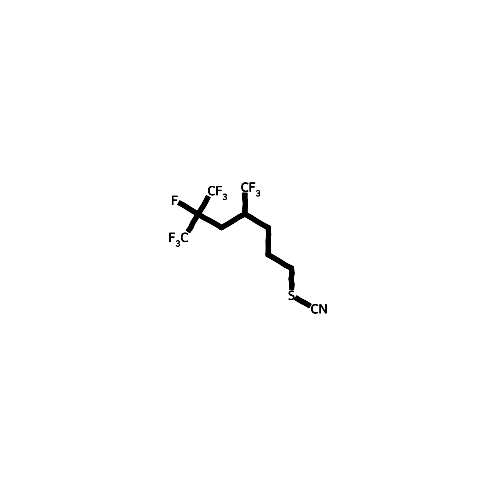 N#CSCCCC(CC(F)(C(F)(F)F)C(F)(F)F)C(F)(F)F